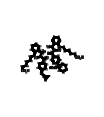 [2H]C(c1ccccc1OCCCCCC(=O)O)N(C(=O)c1ccc(C2(OC)CCOCC2)cc1)C(C)C.[2H]C(c1ccccc1OCCCCCC(=O)O)N(C(=O)c1ccc(OC2CC2)cc1)C(C)C